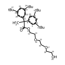 CC(C)(C)c1cc(C(C)(C)C)cc(C(C)(C(=O)OCCOCCOCCO)c2cc(C(C)(C)C)cc(C(C)(C)C)c2)c1